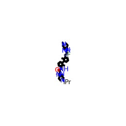 Cc1c(/C=C(\F)c2nc3c(n2C)CCN(C)C3)cccc1-c1cccc(NC(=O)c2nc3c(n2C)CCN(C(C)C)C3)c1C